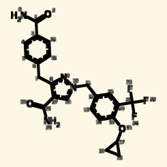 NC(=O)c1ccc(Cc2nn(Cc3ccc(OC4CC4)c(C(F)(F)F)c3)cc2C(N)=O)cc1